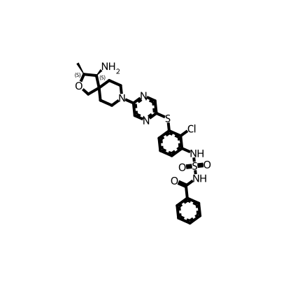 C[C@@H]1OCC2(CCN(c3cnc(Sc4cccc(NS(=O)(=O)NC(=O)c5ccccc5)c4Cl)cn3)CC2)[C@@H]1N